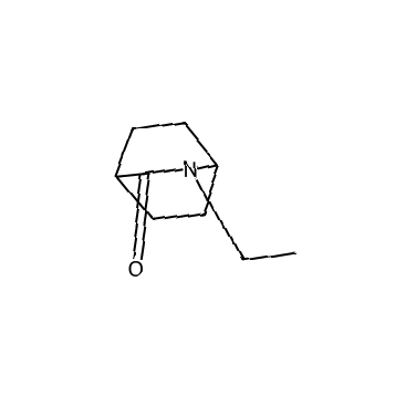 CCN1C(=O)C2CCC1CC2